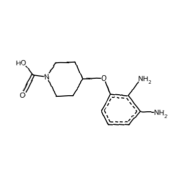 Nc1cccc(OC2CCN(C(=O)O)CC2)c1N